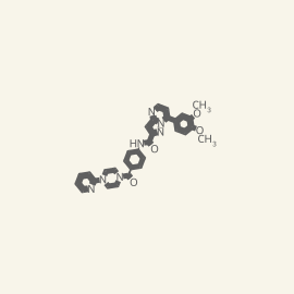 COc1ccc(-c2ccnc3cc(C(=O)N[C@H]4CC[C@H](C(=O)N5CCN(c6ccccn6)CC5)CC4)nn23)cc1OC